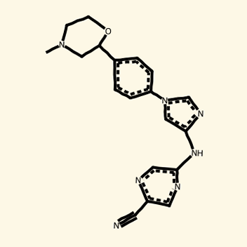 CN1CCOC(c2ccc(-n3cnc(Nc4cnc(C#N)cn4)c3)cc2)C1